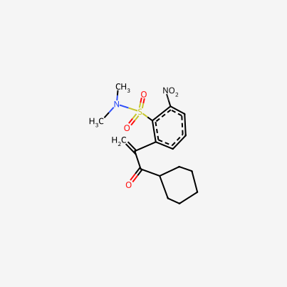 C=C(C(=O)C1CCCCC1)c1cccc([N+](=O)[O-])c1S(=O)(=O)N(C)C